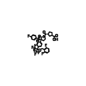 O=C(O)C1CCC(C(=O)N2CC[C@](c3ccc(C(OCc4c(F)cccc4F)(C(F)(F)F)C(F)(F)F)cc3)(S(=O)(=O)c3ccc(F)cc3)C2)C1